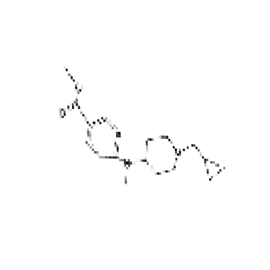 COC(=O)c1ccc(N(C)C2CCN(CC3CC3)CC2)cc1